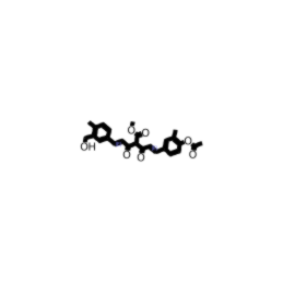 COC(=O)C(C(=O)/C=C/c1ccc(OC(C)=O)c(C)c1)C(=O)/C=C/c1ccc(C)c(CO)c1